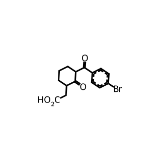 O=C(O)CC1CCCC(C(=O)c2ccc(Br)cc2)C1=O